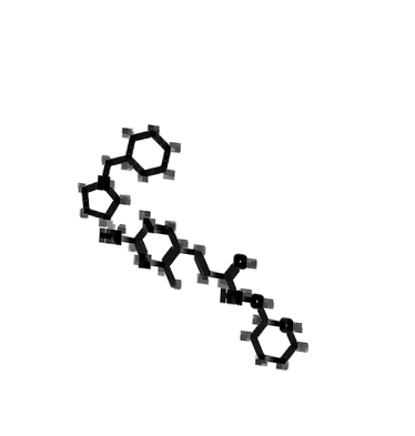 Cc1nc(N[C@@H]2CCN(CC3CCCCC3)C2)ncc1/C=C/C(=O)NOC1CCCCO1